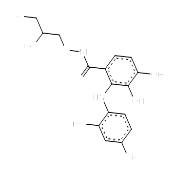 O=C(NOCC(O)CO)c1ccc(O)c(O)c1Nc1ccc(O)cc1O